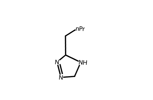 CCCCC1N=NCN1